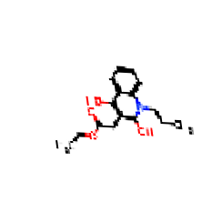 CCCN1c2ccccc2C(O)=C(CC(=O)OCC)C1O